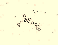 CC1(C)c2ccc(-c3ccc(-c4ccc(-c5nc(-c6ccccc6)cc(-c6ccc(-c7cccnc7)cc6)n5)c5ccccc45)cc3)cc2-c2ccc3ccccc3c21